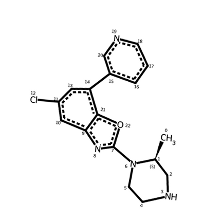 C[C@H]1CNCCN1c1nc2cc(Cl)cc(-c3cccnc3)c2o1